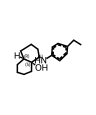 CCc1ccc(N[C@H]2CCC[C@H]3CCCC[C@]32O)cc1